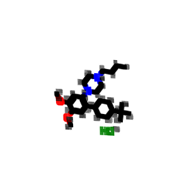 CCCCN1CCN(c2cc(OC)c(OC)cc2C2CCC(C(C)(C)C)CC2)CC1.Cl